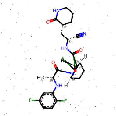 C[C@@H](Nc1cc(F)ccc1F)C(=O)N1[C@@H]2CC[C@H]([C@H]1C(=O)N[C@@H](C#N)C[C@H]1CCCNC1=O)C(F)(F)C2